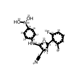 N#Cc1nc(-c2c(F)cccc2F)oc1Nc1ccc(N(O)O)cc1